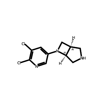 Clc1cc(N2C[C@H]3CNC[C@H]32)cnc1Cl